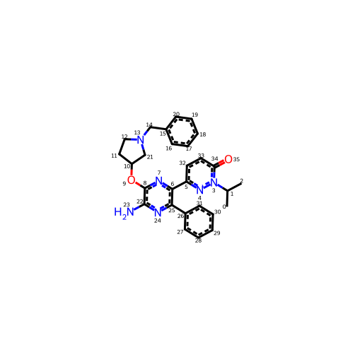 CC(C)n1nc(-c2nc(OC3CCN(Cc4ccccc4)C3)c(N)nc2-c2ccccc2)ccc1=O